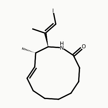 C/C(=C\I)[C@H]1NC(=O)CCCCCC/C=C/[C@@H]1C